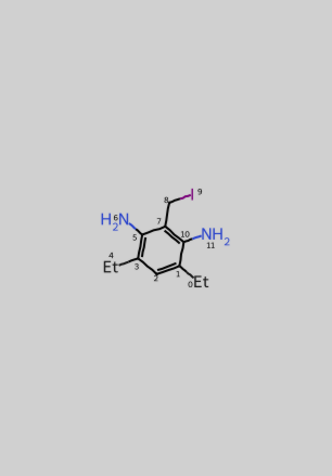 CCc1cc(CC)c(N)c(CI)c1N